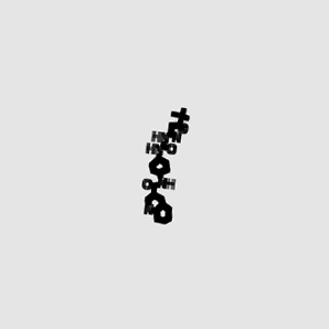 CC(C)(C)c1cc(NC(=O)Nc2ccc(NC(=O)c3cnc4ccccc4c3)cc2)no1